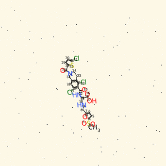 CS(=O)(=O)c1ccc(CNC[C@H](NC(=O)c2c(Cl)cc3c(c2Cl)CCN(C(=O)c2ccc(Cl)s2)C3)C(=O)O)o1